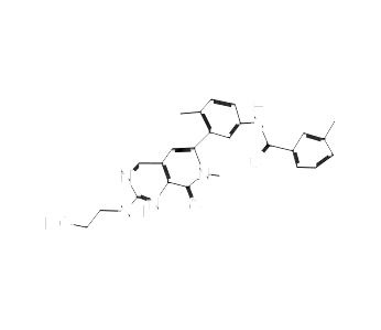 Cc1cccc(C(=O)Nc2ccc(C)c(-c3cc4cnc(NCCO)nc4c(=O)n3C)c2)c1